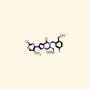 COC[C@H]1Cn2cc(-c3nc(Cl)ncc3C)cc2C(=O)N1Cc1cc(F)ccc1CO